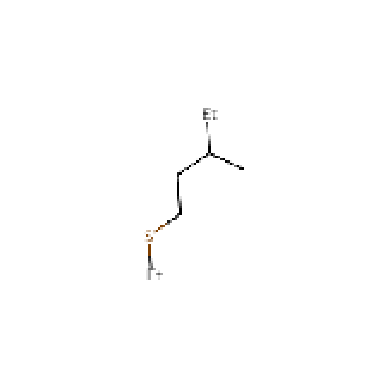 C[CH]SCCC(C)CC